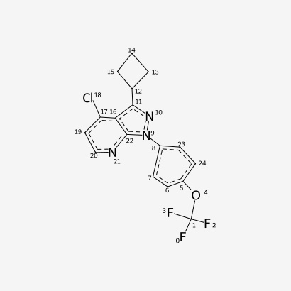 FC(F)(F)Oc1ccc(-n2nc(C3CCC3)c3c(Cl)ccnc32)cc1